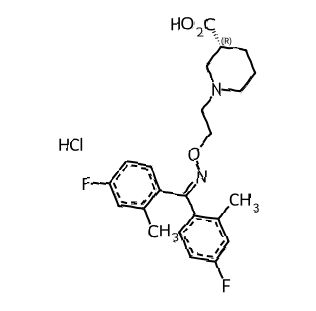 Cc1cc(F)ccc1C(=NOCCN1CCC[C@@H](C(=O)O)C1)c1ccc(F)cc1C.Cl